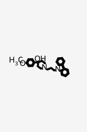 COc1ccc(C2(O)CCN(CCCn3c4ccccc4c4ccccc43)CC2)cc1